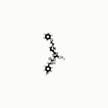 Cc1nc(-c2ccn(CCOc3ccccc3)n2)sc1OC(=O)NCc1ccc(F)cc1